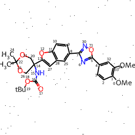 COc1ccc(-c2nc(-c3ccc4oc(C5(NC(=O)OC(C)(C)C)COC(C)(C)OC5)cc4c3)no2)cc1OC